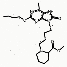 CCCCOc1nc(C)c2[nH]c(=O)n(CCCCN3CCCCC3C(=O)OC)c2n1